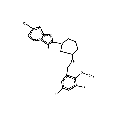 COc1c(Br)cc(Br)cc1CNC1CCCN(c2nc3nc(Cl)ccc3[nH]2)C1